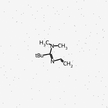 C=C/N=C(\N(C)C)C(C)(C)C